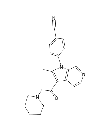 Cc1c(C(=O)CN2CCCCC2)c2ccncc2n1-c1ccc(C#N)cc1